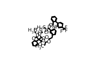 CCOC(=O)C(C(=O)OCC)(C(=O)OC(CC)OC(=O)Cc1ccc(NC(=O)c2ccccc2-c2ccc(C(F)(F)F)cc2)c(C(=O)N(C)C)c1)c1ccccc1